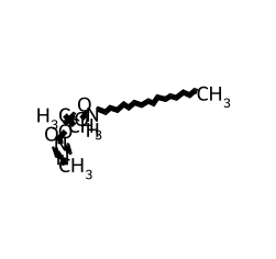 CCCCCCCCCCCCCCCCCCNC(=O)OCC(C)(C)COC(=O)N1CCN(C)CC1